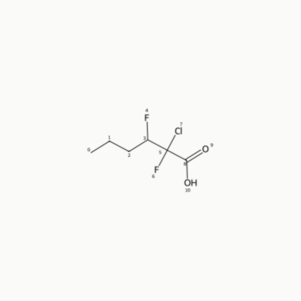 CCCC(F)C(F)(Cl)C(=O)O